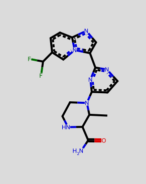 CC1C(C(N)=O)NCCN1c1ccnc(-c2cnc3ccc(C(F)F)cn23)n1